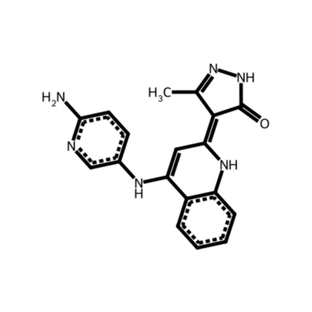 CC1=NNC(=O)/C1=C1/C=C(Nc2ccc(N)nc2)c2ccccc2N1